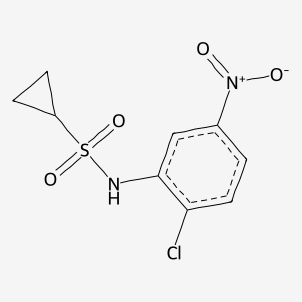 O=[N+]([O-])c1ccc(Cl)c(NS(=O)(=O)C2CC2)c1